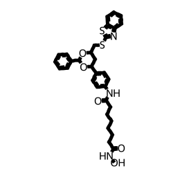 O=C(CCCCCCC(=O)Nc1ccc(C2CC(CSc3nc4ccccc4s3)OC(c3ccccc3)O2)cc1)NO